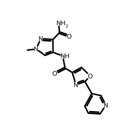 Cn1cc(NC(=O)c2coc(-c3cccnc3)n2)c(C(N)=O)n1